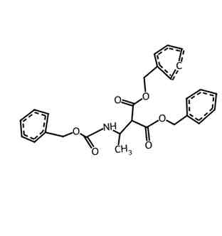 CC(NC(=O)OCc1ccccc1)C(C(=O)OCc1ccccc1)C(=O)OCc1ccccc1